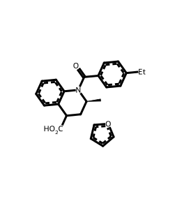 CCc1ccc(C(=O)N2c3ccccc3C(C(=O)O)C[C@@H]2C)cc1.c1ccoc1